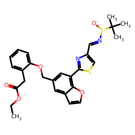 CCOC(=O)Cc1ccccc1OCc1cc(-c2nc(C=N[S+]([O-])C(C)(C)C)cs2)c2occc2c1